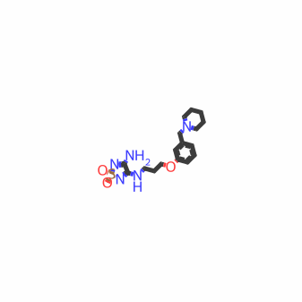 NC1=NS(=O)(=O)N=C1NCCCOc1cccc(CN2CCCCC2)c1